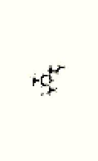 CCCC(=O)N1CN(C(=O)CC)CN(C(=O)CCI)C1